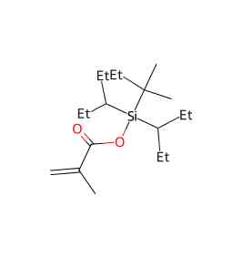 C=C(C)C(=O)O[Si](C(CC)CC)(C(CC)CC)C(C)(C)CC